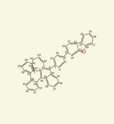 C1#Cc2c(c(-c3ccc(-c4ccc5c(c4)oc4ccccc45)cc3)c3ccccc3c2-c2ccccc2C2=CC=CCC2)C=CC1